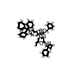 CC=CCN(CC(=O)NCC1(c2ccccc2)CCC1)[N+]([O-])(C(=O)OCc1ccccc1)C(C)Cc1cn(C(c2ccccc2)(c2ccccc2)c2ccccc2)cn1